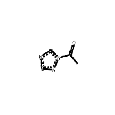 CC(=O)n1cnnn1